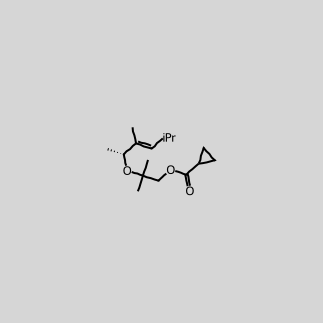 CC(=CC(C)C)[C@@H](C)OC(C)(C)COC(=O)C1CC1